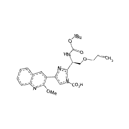 C=CCOC[C@H](NC(=O)OC(C)(C)C)c1nc(-c2cc3ccccc3nc2OC)cn1C(=O)O